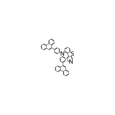 c1ccc2c(c1)cc(-c1ccc(N(c3ccc(-c4cc5ccccc5c5ccccc45)cc3)c3cccc4sc5cnccc5c34)cc1)c1ccccc12